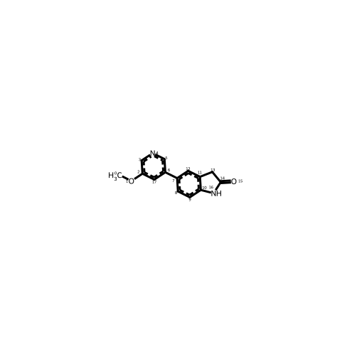 COc1cncc(-c2ccc3c(c2)CC(=O)N3)c1